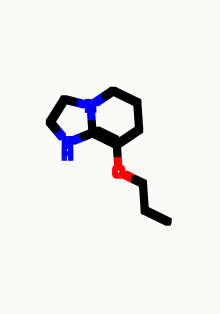 CCCOC1=C2NCCN2CCC1